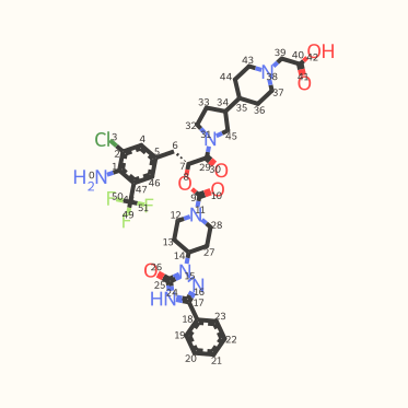 Nc1c(Cl)cc(C[C@@H](OC(=O)N2CCC(n3nc(-c4ccccc4)[nH]c3=O)CC2)C(=O)N2CCC(C3CCN(CC(=O)O)CC3)C2)cc1C(F)(F)F